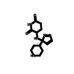 O=C1CCC(NC2(C3CCNCC3)C=CN=N2)C(=O)N1